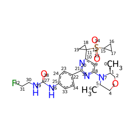 C[C@H]1COC[C@H](C)N1c1cc(C2(S(=O)(=O)C3CC3)CC2)nc(-c2ccc(NC(=O)NCCF)cc2)n1